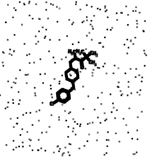 CN(CC1CCN(Cc2ccc(Cl)cc2)CC1)C(=O)C(C)(C)C